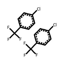 FC(F)(F)c1ccc(Cl)cc1.FC(F)(F)c1ccc(Cl)cc1